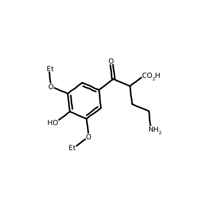 CCOc1cc(C(=O)C(CCN)C(=O)O)cc(OCC)c1O